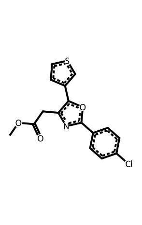 COC(=O)Cc1nc(-c2ccc(Cl)cc2)oc1-c1ccsc1